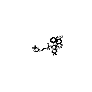 CC1(C)C[C@@H]2N(C1)[C@@H](C(=O)NCC[C@H]1COC(C)(C)O1)[C@H](c1cccc(Cl)c1F)[C@@]2(C#N)c1ccc(Cl)cc1F